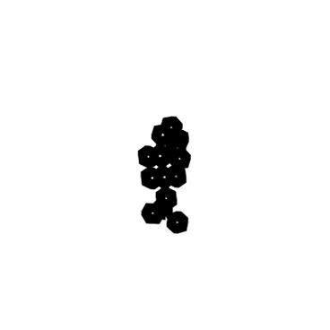 c1ccc(-n2c3ccccc3c3cc(-c4c5ccccc5c(-c5cc6c(c7ccccc57)-c5ccc7ccccc7c5C65c6ccccc6-c6ccccc65)c5ccccc45)ccc32)cc1